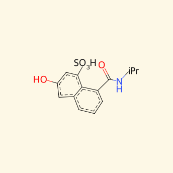 CC(C)NC(=O)c1cccc2cc(O)cc(S(=O)(=O)O)c12